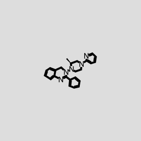 C[C@H]1CN(c2ccccn2)CCN1N1Cc2ccccc2N=C1c1ccccc1